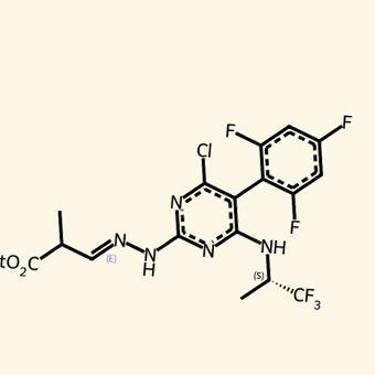 CCOC(=O)C(C)/C=N/Nc1nc(Cl)c(-c2c(F)cc(F)cc2F)c(N[C@@H](C)C(F)(F)F)n1